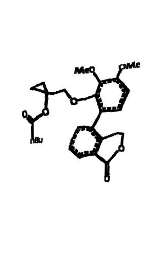 CCCCC(=O)OC1(COc2c(-c3cccc4c3COC4=O)ccc(OC)c2OC)CC1